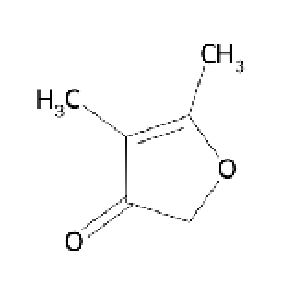 CC1=C(C)C(=O)CO1